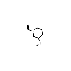 C=CN1CCCC(NC)C1